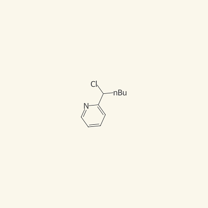 CCCCC(Cl)c1ccccn1